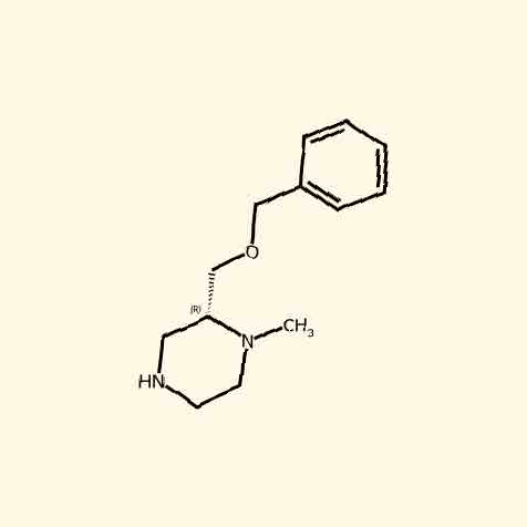 CN1CCNC[C@@H]1COCc1ccccc1